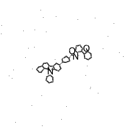 c1ccc(-n2c3ccc(-c4ccc(-c5nc6c(ccc7oc8ccccc8c76)o5)cc4)cc3c3ccc4ccccc4c32)cc1